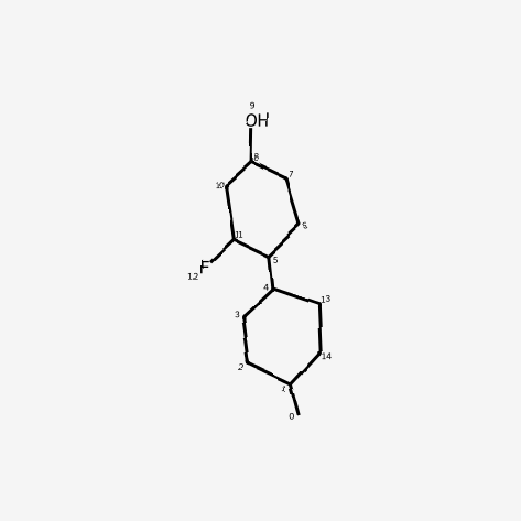 CC1CCC(C2CCC(O)CC2F)CC1